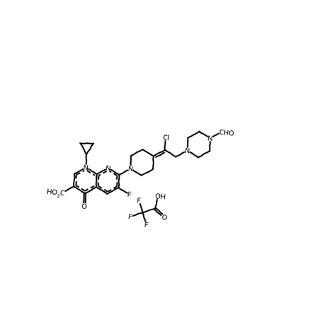 O=C(O)C(F)(F)F.O=CN1CCN(CC(Cl)=C2CCN(c3nc4c(cc3F)c(=O)c(C(=O)O)cn4C3CC3)CC2)CC1